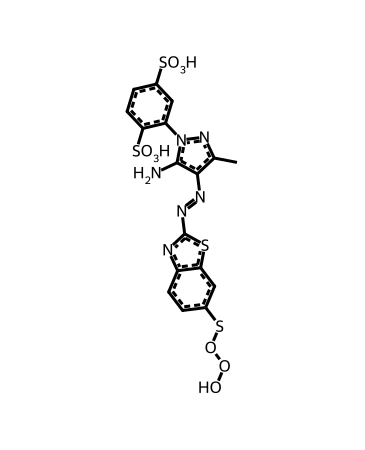 Cc1nn(-c2cc(S(=O)(=O)O)ccc2S(=O)(=O)O)c(N)c1/N=N/c1nc2ccc(SOOO)cc2s1